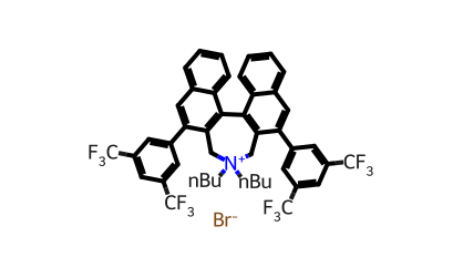 CCCC[N+]1(CCCC)Cc2c(-c3cc(C(F)(F)F)cc(C(F)(F)F)c3)cc3ccccc3c2-c2c(c(-c3cc(C(F)(F)F)cc(C(F)(F)F)c3)cc3ccccc23)C1.[Br-]